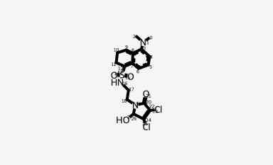 CN(C)c1cccc2c1=CCCC=2S(=O)(=O)NCCN1C(=O)C(Cl)=C(Cl)C1O